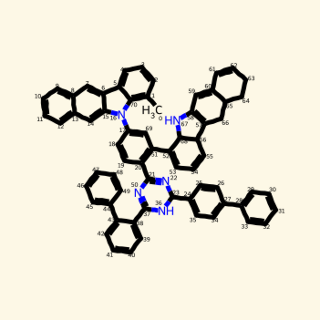 Cc1cccc2c3cc4ccccc4cc3n(-c3ccc(C4=NC(c5ccc(-c6ccccc6)cc5)NC(c5ccccc5-c5ccccc5)=N4)c(C4=CC=CC5C6=C(C=C7C=CCCC7C6)NC45)c3)c12